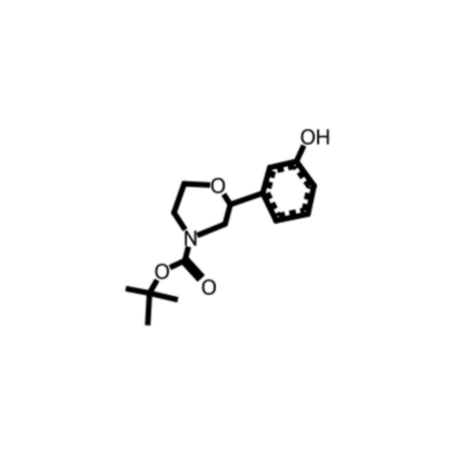 CC(C)(C)OC(=O)N1CCOC(c2cccc(O)c2)C1